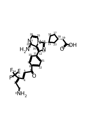 NC/C=C(\C=CC(=O)c1ccc(-c2nc([C@@H]3CC[C@H](CC(=O)O)C3)n3ccnc(N)c23)cc1)C(F)(F)F